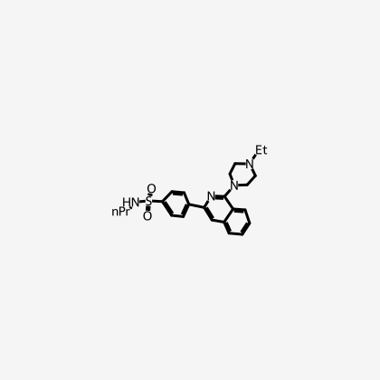 CCCNS(=O)(=O)c1ccc(-c2cc3ccccc3c(N3CCN(CC)CC3)n2)cc1